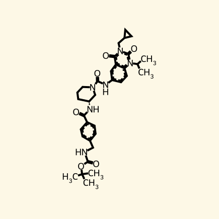 CC(C)n1c(=O)n(CC2CC2)c(=O)c2cc(NC(=O)N3CCC[C@@H](NC(=O)c4ccc(CNC(=O)OC(C)(C)C)cc4)C3)ccc21